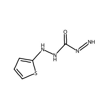 N=NC(=O)NNc1cccs1